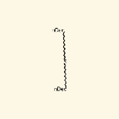 CCCCCCCCCCCCCCCCCCCCCCC[CH]SCCCCCCCCCCCCCCCCCCCCCC